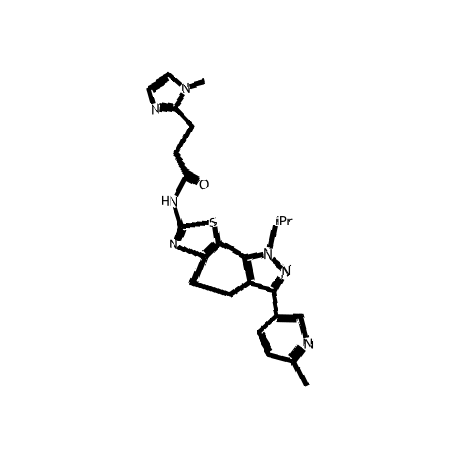 Cc1ccc(-c2nn(C(C)C)c3c2CCc2nc(NC(=O)CCc4nccn4C)sc2-3)cn1